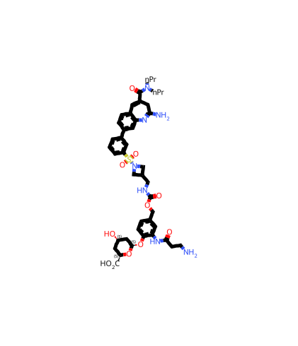 CCCN(CCC)C(=O)C1=Cc2ccc(-c3cccc(S(=O)(=O)N4CC(CNC(=O)OCc5ccc(O[C@H]6C[C@@H](O)C[C@@H](C(=O)O)O6)c(NC(=O)CCN)c5)C4)c3)cc2N=C(N)C1